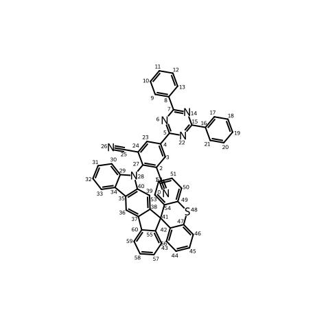 N#Cc1cc(-c2nc(-c3ccccc3)nc(-c3ccccc3)n2)cc(C#N)c1-n1c2ccccc2c2cc3c(cc21)C1(c2ccccc2Sc2ccccc21)c1ccccc1-3